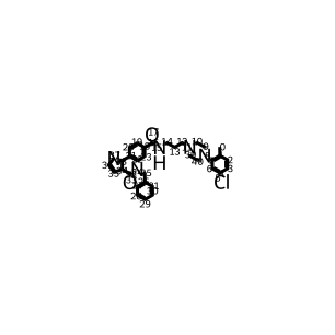 Cc1ccc(Cl)cc1N1CCN(CCCNC(=O)c2ccc3c(c2)N(Cc2ccccc2)C(=O)C2C=CN=C32)CC1